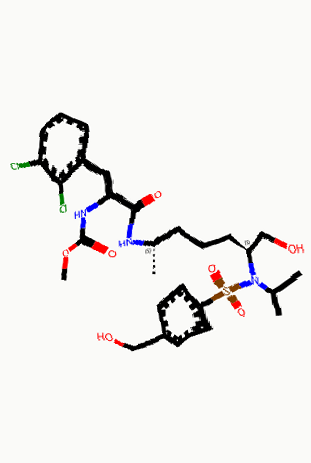 COC(=O)NC(Cc1cccc(Cl)c1Cl)C(=O)N[C@@H](C)CCC[C@@H](CO)N(C(C)C)S(=O)(=O)c1ccc(CO)cc1